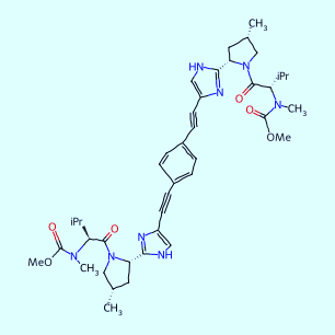 COC(=O)N(C)[C@H](C(=O)N1C[C@@H](C)C[C@H]1c1nc(C#Cc2ccc(C#Cc3c[nH]c([C@@H]4C[C@H](C)CN4C(=O)[C@H](C(C)C)N(C)C(=O)OC)n3)cc2)c[nH]1)C(C)C